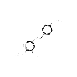 COc1ccc(CSc2cnc(OC)c(C#N)c2)cc1